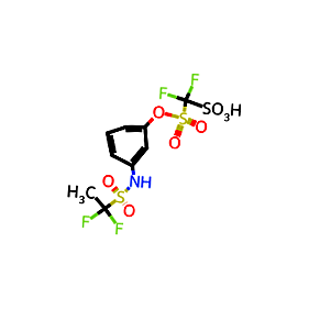 CC(F)(F)S(=O)(=O)Nc1cccc(OS(=O)(=O)C(F)(F)S(=O)(=O)O)c1